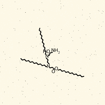 CCCCCCCCCCCCCCOC(=O)CCN(CCCCCCCCCCCCCC)CCCCN(CCCCCCCCCCCCCC)CC(O)CN